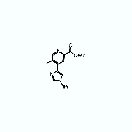 COC(=O)c1cc(-c2cn(C(C)C)cn2)c(C)cn1